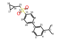 CC(C)c1cccc(-c2ccc(S(=O)(=O)CC3CC3)cc2)c1